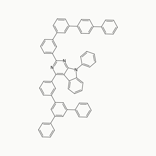 c1ccc(-c2ccc(-c3cccc(-c4cccc(-c5nc(-c6cccc(-c7cc(-c8ccccc8)cc(-c8ccccc8)c7)c6)c6c7ccccc7n(-c7ccccc7)c6n5)c4)c3)cc2)cc1